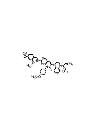 C=CC(=O)N1CCN(c2cc3cnc(NCc4ccc(OC)cc4OC)nc3n(C3CCC(OC)CC3)c2=O)c2cccc(C)c21